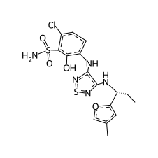 CC[C@@H](Nc1nsnc1Nc1ccc(Cl)c(S(N)(=O)=O)c1O)c1cc(C)co1